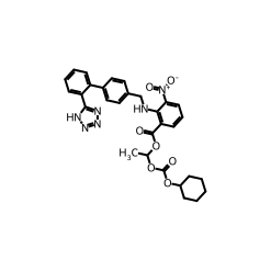 CC(OC(=O)OC1CCCCC1)OC(=O)c1cccc([N+](=O)[O-])c1NCc1ccc(-c2ccccc2-c2nnn[nH]2)cc1